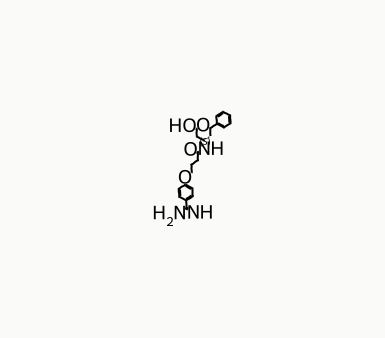 N=C(N)c1ccc(OCCCC(=O)N[C@@H](CCc2ccccc2)CC(=O)O)cc1